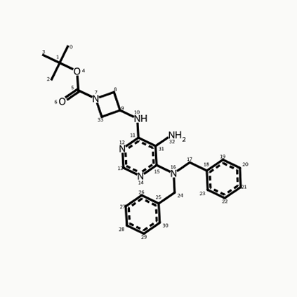 CC(C)(C)OC(=O)N1CC(Nc2ncnc(N(Cc3ccccc3)Cc3ccccc3)c2N)C1